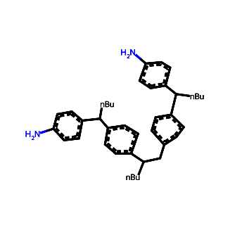 CCCCC(Cc1ccc(C(CCCC)c2ccc(N)cc2)cc1)c1ccc(C(CCCC)c2ccc(N)cc2)cc1